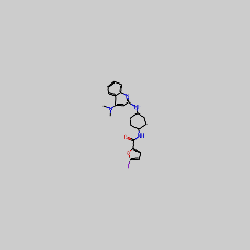 CN(C)c1cc(NC2CCC(NC(=O)c3ccc(I)o3)CC2)nc2ccccc12